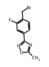 Cc1nc(-c2ccc(CBr)c(F)c2)no1